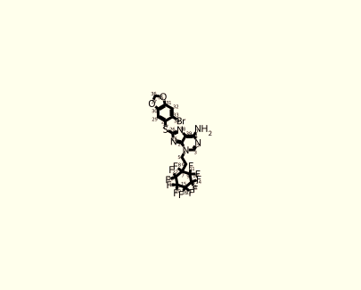 Nc1ncn(CCC2(F)C(F)(F)C(F)(F)C(F)(F)C(F)(F)C2(F)F)c2nc(Sc3cc4c(cc3Br)OCO4)nc1-2